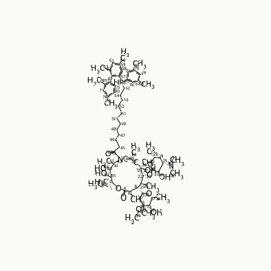 CC[C@H]1OC(=O)[C@H](C)[C@@H](C2C[C@@](C)(OC)[C@@H](O)[C@H](C)O2)[C@H](C)[C@@H](O[C@@H]2O[C@H](C)C[C@H](N(C)C)[C@H]2O)[C@](C)(O)C[C@@H](C)CN(C(=O)CCCCCCCCCCC[PH](c2cc(C)cc(C)c2)(c2cc(C)cc(C)c2)c2cc(C)cc(C)c2)[C@H](C)[C@@H](O)[C@]1(C)O